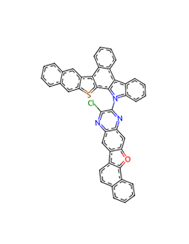 Clc1nc2cc3c(cc2nc1-n1c2ccccc2c2c4ccccc4c4c5cc6ccccc6cc5sc4c21)oc1c2ccccc2ccc31